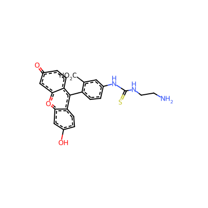 NCCNC(=S)Nc1ccc(-c2c3ccc(=O)cc-3oc3cc(O)ccc23)c(C(=O)O)c1